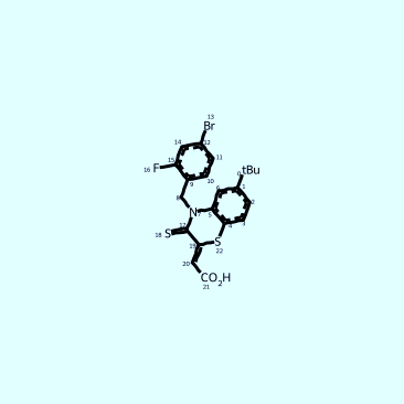 CC(C)(C)c1ccc2c(c1)N(Cc1ccc(Br)cc1F)C(=S)/C(=C/C(=O)O)S2